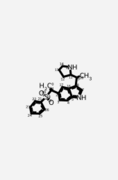 C=C(c1ccc2[nH]cc(C(C)C3CCCN3)c2c1)S(=O)(=O)c1ccccc1